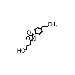 CCCc1ccc(-n2nc(CCCO)oc2=O)cc1